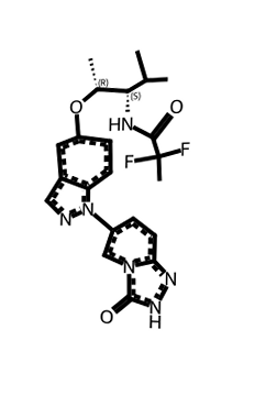 CC(C)[C@H](NC(=O)C(C)(F)F)[C@@H](C)Oc1ccc2c(cnn2-c2ccc3n[nH]c(=O)n3c2)c1